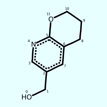 OCc1cnc2c(c1)CCCO2